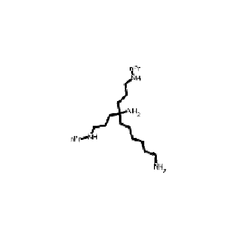 CCCNCCCC(N)(CCCCCCN)CCCNCCC